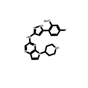 COc1cc(F)ccc1-c1cc(Nc2cnc3ccn(C4CCNCC4)c3n2)n[nH]1